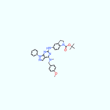 COc1ccc(CN(C)c2nc(Nc3ccc4c(c3)CCN4C(=O)OC(C)(C)C)nc3c2cnn3-c2ccccc2)cc1